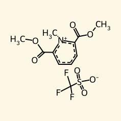 COC(=O)c1cccc(C(=O)OC)[n+]1C.O=S(=O)([O-])C(F)(F)F